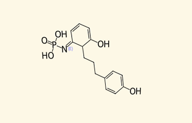 O=P(O)(O)/N=C1\C=CC=C(O)C1CCCc1ccc(O)cc1